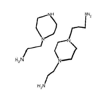 NCCN1CCN(CCN)CC1.NCCN1CCNCC1